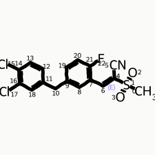 CS(=O)(=O)/C(C#N)=C/c1cc(Cc2ccc(Cl)c(Cl)c2)ccc1F